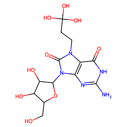 Nc1nc2c(c(=O)[nH]1)n(CCC(O)(O)O)c(=O)n2C1OC(CO)C(O)C1O